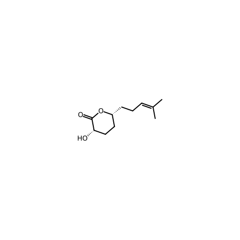 CC(C)=CCC[C@@H]1CC[C@H](O)C(=O)O1